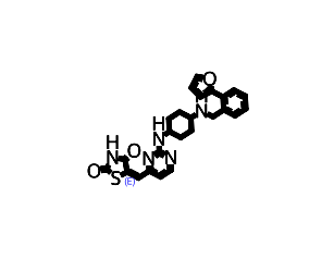 O=C1NC(=O)/C(=C\c2ccnc(NC3CCC(NCc4ccccc4-c4ccco4)CC3)n2)S1